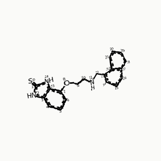 S=c1[nH]c2cccc(OCCNCc3cccc4ccccc34)c2[nH]1